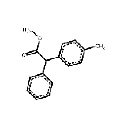 COC(=O)C(c1ccccc1)c1ccc(C)cc1